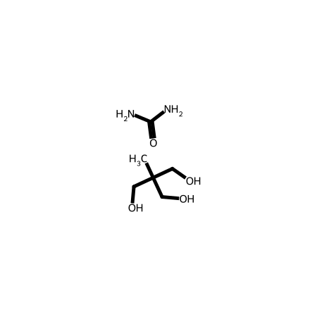 CC(CO)(CO)CO.NC(N)=O